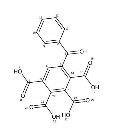 O=C(O)c1cc(C(=O)c2ccccc2)c(C(=O)O)c(C(=O)O)c1C(=O)O